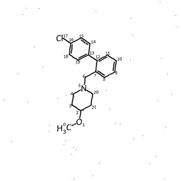 CO[C]1CCN(Cc2ccccc2-c2ccc(Cl)cc2)CC1